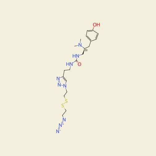 CN(C)[C@H](CNC(=O)NCCc1cn(CCSSCCN=[N+]=[N-])nn1)Cc1ccc(O)cc1